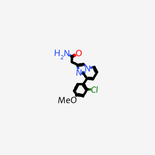 COc1ccc(-c2cccn3cc(CC(N)=O)nc23)c(Cl)c1